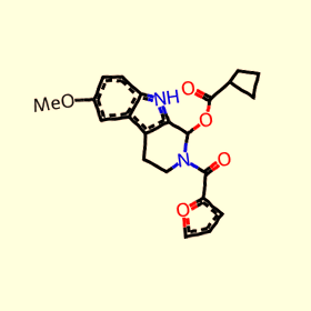 COc1ccc2[nH]c3c(c2c1)CCN(C(=O)c1ccco1)C3OC(=O)C1CCC1